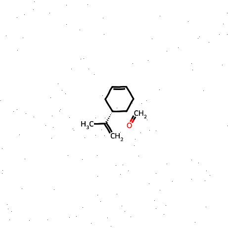 C=C(C)[C@@H]1CC=CCC1.C=O